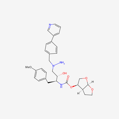 COc1ccc(C[C@H](NC(=O)O[C@H]2CO[C@H]3OCC[C@H]32)[C@@H](O)CN(N)Cc2ccc(-c3cccnc3)cc2)cc1